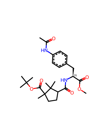 COC(=O)[C@H](Cc1ccc(NC(C)=O)cc1)NC(=O)C1CCC(C)(C(=O)OC(C)(C)C)C1(C)C